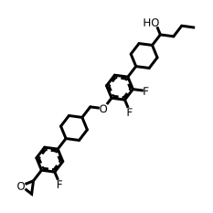 CCCC(O)C1CCC(c2ccc(OCC3CCC(c4ccc(C5CO5)c(F)c4)CC3)c(F)c2F)CC1